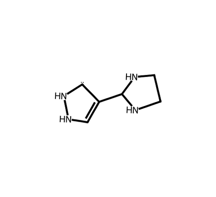 [C]1NNC=C1C1NCCN1